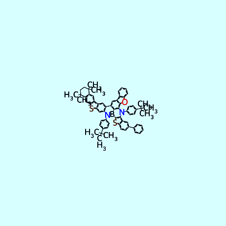 CC(C)(C)c1ccc(N2B3c4sc5ccc(-c6ccccc6)cc5c4N(c4ccc(C(C)(C)C)cc4)c4c3c(cc3c4oc4ccccc43)-c3cc4c(cc32)sc2cc3c(cc24)C(C)(C)CCC3(C)C)cc1